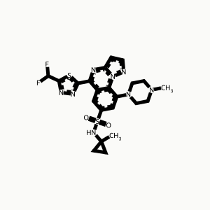 CN1CCN(c2cc(S(=O)(=O)NC3(C)CC3)cc3c(-c4nnc(C(F)F)s4)nc4ccnn4c23)CC1